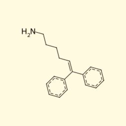 NCCCCC=C(c1ccccc1)c1ccccc1